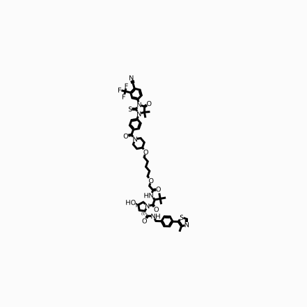 Cc1ncsc1-c1ccc(CNC(=O)[C@@H]2C[C@@H](O)CN2C(=O)C(NC(=O)COCCCCCOC2CCN(C(=O)c3ccc(N4C(=S)N(c5ccc(C#N)c(C(F)(F)F)c5)C(=O)C4(C)C)cc3)CC2)C(C)(C)C)cc1